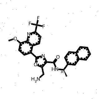 COc1ccc(-c2nc(C(=O)N[C@H](C)c3ccc4ccccc4c3)c(CN)o2)c2ccc(C(F)(F)F)nc12